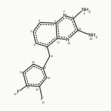 Nc1nc2cccc(Cc3ccc(F)c(F)c3)c2nc1N